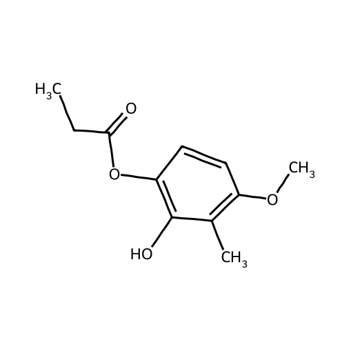 CCC(=O)Oc1ccc(OC)c(C)c1O